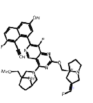 C#Cc1c(F)ccc2cc(O)cc(-c3ncc4c(N5CC6CCC(COC)(C5)N6)nc(OC[C@@]56CCCN5C/C(=C/F)C6)nc4c3F)c12